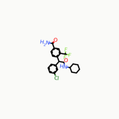 NC(=O)c1ccc(C(C(=O)NC2CCCCC2)c2cccc(Cl)c2)c(C(F)(F)F)c1